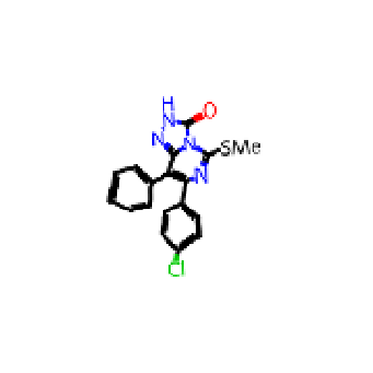 CSc1nc(-c2ccc(Cl)cc2)c(-c2ccccc2)c2n[nH]c(=O)n12